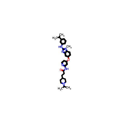 CC(C)c1cccc(Nc2nc3cc(Oc4ccnc(NC(=O)CCC5CCN(C(C)C)CC5)c4)ccc3n2C)c1